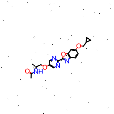 CC(=O)N[C@@H](C)COc1cnc(-c2nc3ccc(OCC4CC4)cc3o2)nc1